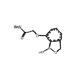 CNC(=O)COc1cccc2c1B(O)OC2